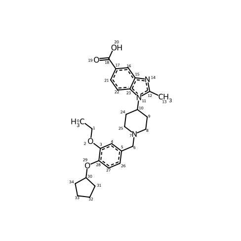 CCOc1cc(CN2CCC(n3c(C)nc4cc(C(=O)O)ccc43)CC2)ccc1OC1CCCC1